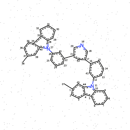 Cc1ccc2c3ccccc3n(-c3cccc(-c4cncc(-c5cccc(-n6c7ccccc7c7ccc(C)cc76)c5)c4)c3)c2c1